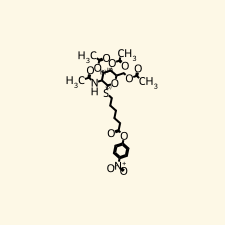 CC(=O)NC1[C@@H](OC(C)=O)[C@H](OC(C)=O)C(COC(C)=O)O[C@H]1SCCCCCC(=O)Oc1ccc([N+](=O)[O-])cc1